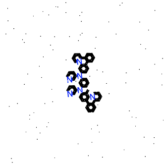 Cc1cc(-c2ccccc2-c2ccccn2)ccc1N(c1cccnc1)c1cccc(N(c2ccc(-c3ccccc3-c3ccccn3)cc2)c2cccnc2)c1